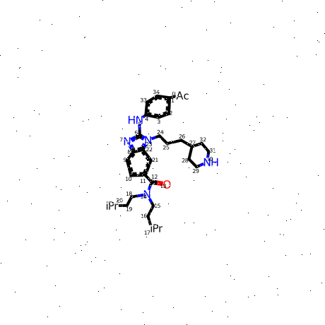 CC(=O)c1ccc(Nc2nc3ccc(C(=O)N(CCC(C)C)CCC(C)C)cc3n2CCCC2CCNCC2)cc1